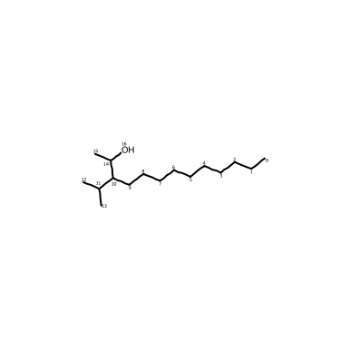 CCCCCCCCCCC(C(C)C)C(C)O